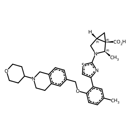 Cc1ccc(OCc2ccc3c(c2)CCN(C2CCOCC2)C3)c(-c2csc(N3C[C@@H]4C[C@]4(C(=O)O)[C@H]3C)n2)c1